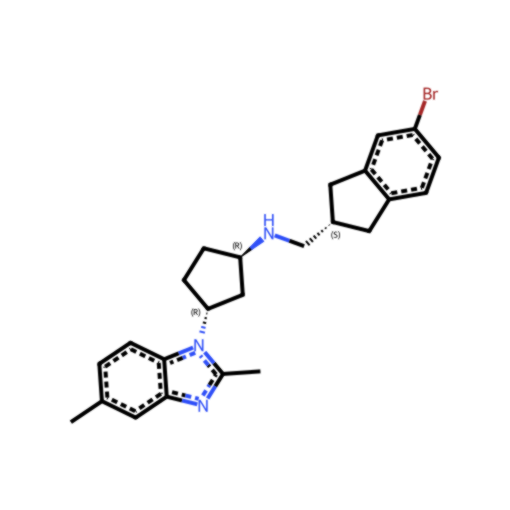 Cc1ccc2c(c1)nc(C)n2[C@@H]1CC[C@@H](NC[C@H]2Cc3ccc(Br)cc3C2)C1